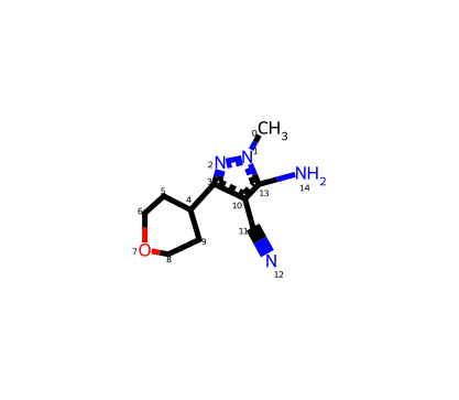 Cn1nc(C2CCOCC2)c(C#N)c1N